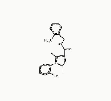 Cc1cc(C(=O)NCc2ccccc2C(=O)O)c(C)n1-c1ccccc1C(F)(F)F